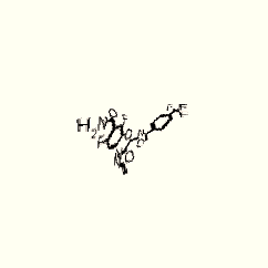 Cc1nnc(C(Oc2ccc(F)c(C(N)=O)c2F)c2nc(-c3ccc(C(F)(F)F)cc3)co2)o1